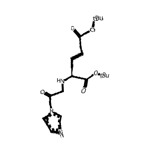 CC(C)(C)OC(=O)CC[C@H](NCC(=O)n1ccnc1)C(=O)OC(C)(C)C